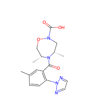 Cc1ccc(-n2nccn2)c(C(=O)N2[C@H](C)CON(C(=O)O)C[C@@H]2C)c1